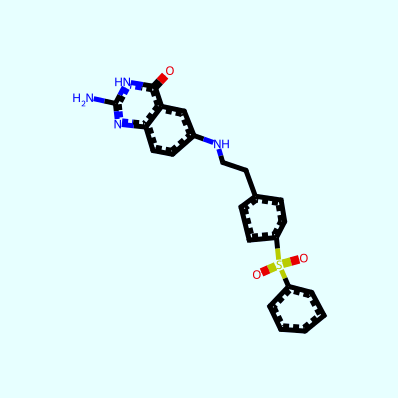 Nc1nc2ccc(NCCc3ccc(S(=O)(=O)c4ccccc4)cc3)cc2c(=O)[nH]1